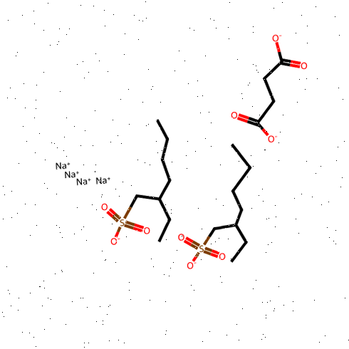 CCCCC(CC)CS(=O)(=O)[O-].CCCCC(CC)CS(=O)(=O)[O-].O=C([O-])CCC(=O)[O-].[Na+].[Na+].[Na+].[Na+]